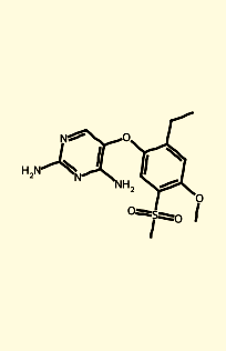 CCc1cc(OC)c(S(C)(=O)=O)cc1Oc1cnc(N)nc1N